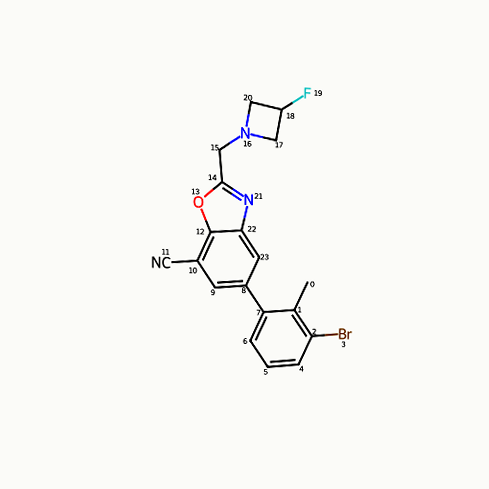 Cc1c(Br)cccc1-c1cc(C#N)c2oc(CN3CC(F)C3)nc2c1